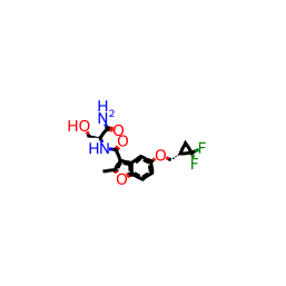 Cc1oc2ccc(OC[C@@H]3CC3(F)F)cc2c1C(=O)N[C@@H](CO)C(N)=O